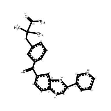 CC(C)(Cc1cccc(C(=O)c2ccc3ncc(-c4cccnc4)nc3c2)c1)C(N)=O